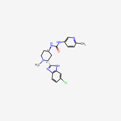 Cc1ccc(NC(=O)N[C@@H]2CCN(C)[C@@H](c3nc4ccc(Cl)cc4[nH]3)C2)cn1